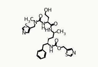 C[C@@H](CC[C@H](Cc1ccccc1)NC(=O)OCc1cncs1)NC(=O)[C@H](CCO)NC(=O)N(C)Cc1cncs1